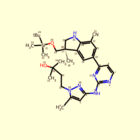 Cc1cc(Nc2nccc(-c3cc(C#N)c4c(c3)[C@@](C)(CO[Si](C)(C)C(C)(C)C)CN4)n2)nn1CCC(C)(C)O